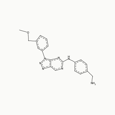 COCc1cccc(-n2nnc3cnc(Nc4ccc(CN)cc4)nc32)c1